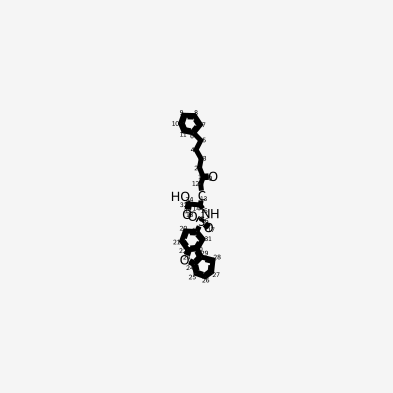 O=C(CCCCc1ccccc1)CCC(NS(=O)(=O)c1ccc2oc3ccccc3c2c1)C(=O)O